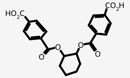 O=C(O)c1ccc(C(=O)OC2CCCCC2OC(=O)c2ccc(C(=O)O)cc2)cc1